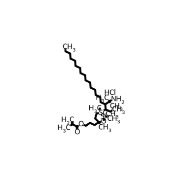 C=C(C)C(=O)OCCCC1(C)CC[Si](C)(C(CC)C(CCCCCCCCCCCCCCCC)C(C)(C)N)[Si](C)(C)O1.Cl